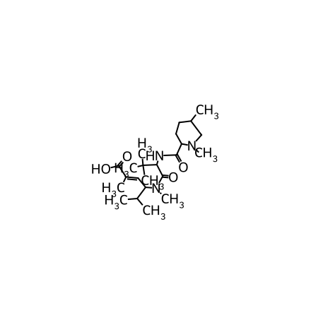 C/C(=C\C(C(C)C)N(C)C(=O)C(NC(=O)C1CCC(C)CN1C)C(C)(C)C)C(=O)O